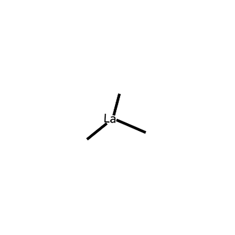 [CH3][La]([CH3])[CH3]